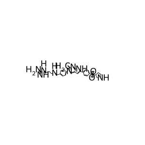 C=C1N=c2[nH]c(-c3ccc(S(=O)(=O)[C@H]4CCNC4)cc3)cc2=CN1c1ccc(CNCCCNC(=N)N)cc1